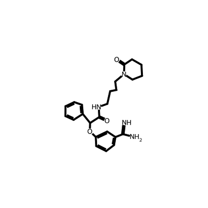 N=C(N)c1cccc(OC(C(=O)NCCCCN2CCCCC2=O)c2ccccc2)c1